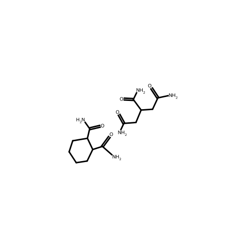 NC(=O)C1CCCCC1C(N)=O.NC(=O)CC(CC(N)=O)C(N)=O